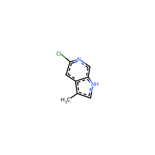 Cc1c[nH]c2cnc(Cl)cc12